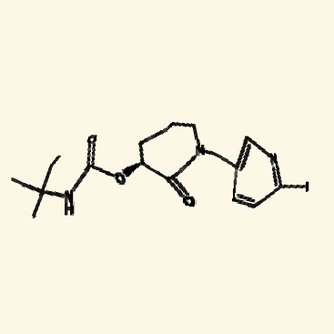 CC(C)(C)NC(=O)O[C@H]1CCCN(c2ccc(I)nc2)C1=O